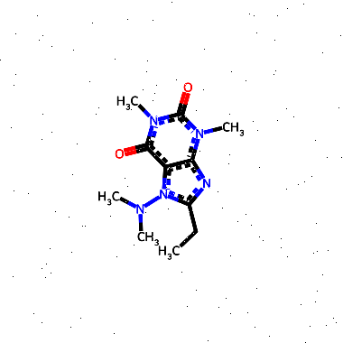 CCc1nc2c(c(=O)n(C)c(=O)n2C)n1N(C)C